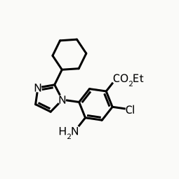 CCOC(=O)c1cc(-n2ccnc2C2CCCCC2)c(N)cc1Cl